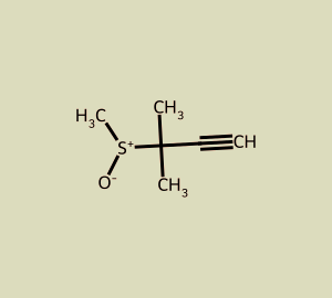 C#CC(C)(C)[S+](C)[O-]